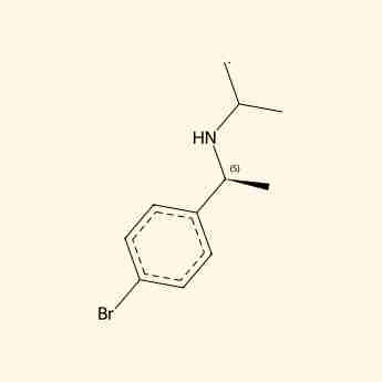 [CH2]C(C)N[C@@H](C)c1ccc(Br)cc1